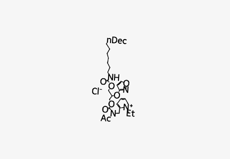 CCCCCCCCCCCCCCCCCNC(=O)OCC(COC(=O)N(Cc1cccc[n+]1CC)C(C)=O)Oc1ccon1.[Cl-]